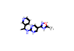 CC(Nc1ncc(-c2noc(C(F)(F)F)n2)cn1)c1cccnc1